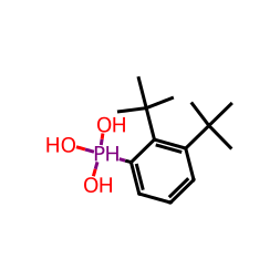 CC(C)(C)c1cccc([PH](O)(O)O)c1C(C)(C)C